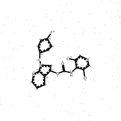 O=C(Nc1c(Cl)cncc1Cl)Oc1cn(Cc2ccc(F)cc2)c2ncccc12